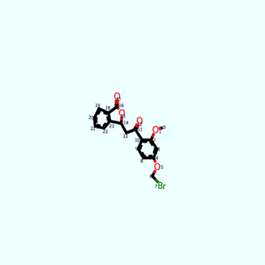 COc1cc(OCBr)ccc1C(=O)CC1OC(=O)c2ccccc21